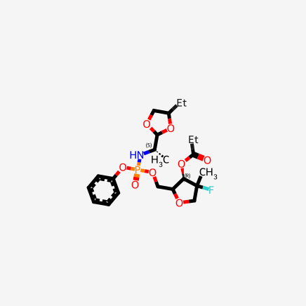 CCC(=O)O[C@@H]1C(COP(=O)(N[C@@H](C)C2OCC(CC)O2)Oc2ccccc2)OCC1(C)F